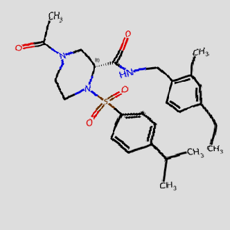 CCc1ccc(CNC(=O)[C@H]2CN(C(C)=O)CCN2S(=O)(=O)c2ccc(C(C)C)cc2)c(C)c1